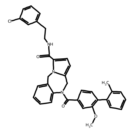 COc1cc(C(=O)N2Cc3ccc(C(=O)NCCc4cccc(Cl)c4)n3Cc3ccccc32)ccc1-c1ccccc1C